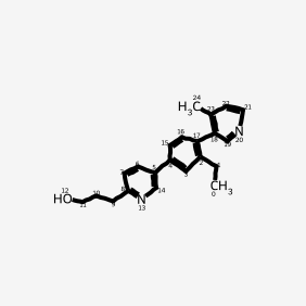 CCc1cc(-c2ccc(CCCO)nc2)ccc1-c1cnccc1C